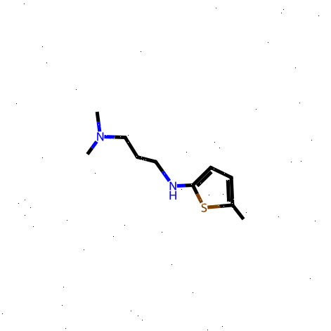 Cc1ccc(NCCCN(C)C)s1